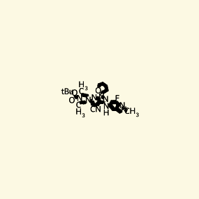 C[C@H]1CN(c2cc(C#N)c3c(Nc4cc(F)c5nn(C)cc5c4)nn(C4CCCCO4)c3n2)C[C@H](C)N1C(=O)OC(C)(C)C